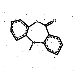 O=C1Sc2ccccc2N(I)c2ccccc21